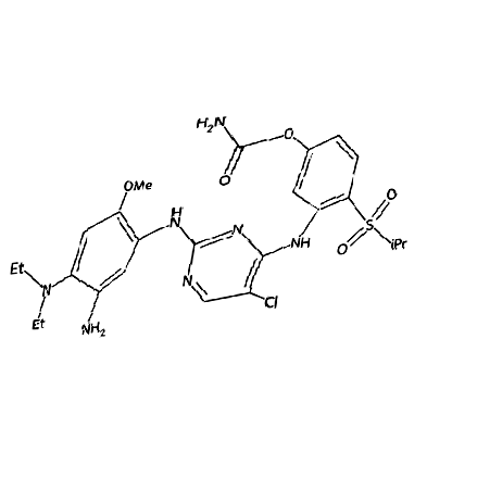 CCN(CC)c1cc(OC)c(Nc2ncc(Cl)c(Nc3cc(OC(N)=O)ccc3S(=O)(=O)C(C)C)n2)cc1N